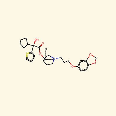 O=C(O[C@H]1C[N+]2(CCCOc3ccc4c(c3)OCO4)CCC1CC2)[C@](O)(c1cccs1)C1CCCC1